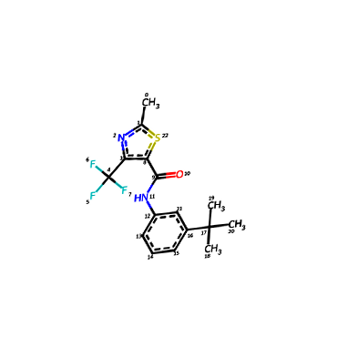 Cc1nc(C(F)(F)F)c(C(=O)Nc2cccc(C(C)(C)C)c2)s1